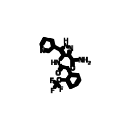 NC(=O)c1n[nH]c(-c2cccnc2)c1NC(=O)Cc1ccccc1OC(F)(F)F